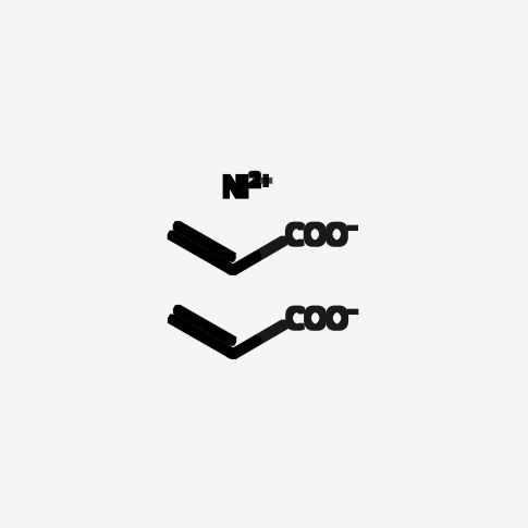 C=CC(=O)[O-].C=CC(=O)[O-].[Ni+2]